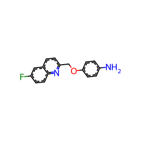 Nc1ccc(OCc2ccc3cc(F)ccc3n2)cc1